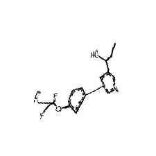 CCC(O)c1cncc(-c2ccc(OC(F)(F)F)cc2)c1